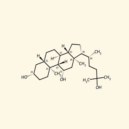 C[C@H](CCC(C)(C)O)[C@H]1CC[C@H]2[C@@H]3CC[C@H]4C[C@@H](O)CC[C@]4(C)[C@H]3[C@@H](O)C[C@]12C